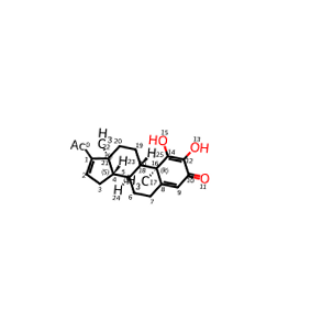 CC(=O)C1=CC[C@H]2[C@@H]3CCC4=CC(=O)C(O)=C(O)[C@]4(C)[C@H]3CC[C@]12C